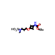 CN(CCCOC1CC(NC(=O)OC(C)(C)C)C1)C(=O)O